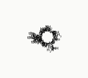 CC[C@H](C)[C@@H]1NC(=O)[C@@H](CCCNC(=N)N)NC(=O)[C@H](CC(C)C)NC(=O)[C@H]([C@H](O)C(C)C)NC(=O)[C@@H](NC(=O)[C@H](CC(C)(C)C)NC(=O)[C@@H](CC(C)(C)C)NC(=O)OC(C)(C)C)[C@@H](c2ccccc2)OC(=O)[C@H](CO)NC(=O)[C@H]([C@H](O)C(N)=O)NC(=O)CNC(=O)[C@H]([C@H](C)O)NC1=O